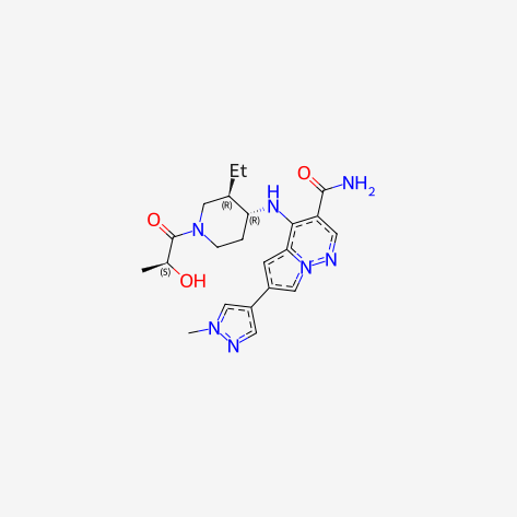 CC[C@@H]1CN(C(=O)[C@H](C)O)CC[C@H]1Nc1c(C(N)=O)cnn2cc(-c3cnn(C)c3)cc12